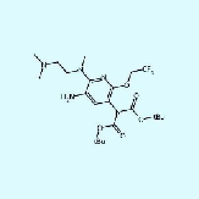 CN(C)CCN(C)c1nc(OCC(F)(F)F)c(N(C(=O)OC(C)(C)C)C(=O)OC(C)(C)C)cc1N